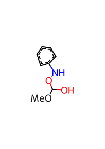 COC(O)ONc1ccccc1